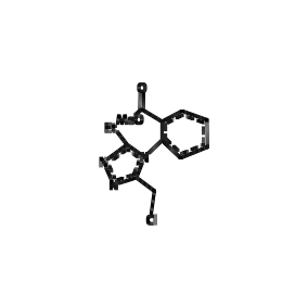 CCc1nnc(CCl)n1-c1ccccc1C(=O)OC